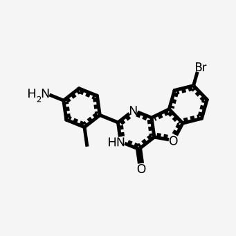 Cc1cc(N)ccc1-c1nc2c(oc3ccc(Br)cc32)c(=O)[nH]1